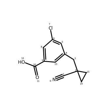 N#CC1(Cc2cc(Cl)cc(C(=O)O)c2)CC1